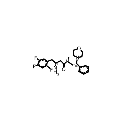 CN(C[C@@H](c1ccccc1)N1CCOCC1)C(=O)C[C@H](N)Cc1cc(F)c(F)cc1F